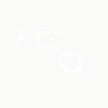 CCn1nc(C(N)=O)cc1-c1ccc(Cl)c(F)c1